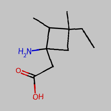 CCC1(C)CC(N)(CC(=O)O)C1C